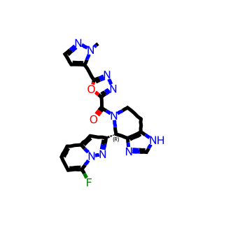 Cn1nccc1-c1nnc(C(=O)N2CCc3[nH]cnc3[C@@H]2c2cc3cccc(F)n3n2)o1